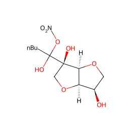 CCCCC(O)(O[N+](=O)[O-])[C@@]1(O)CO[C@@H]2[C@H](O)CO[C@@H]21